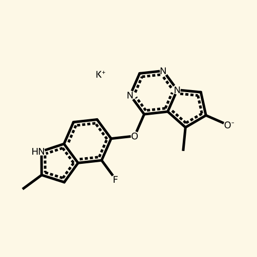 Cc1cc2c(F)c(Oc3ncnn4cc([O-])c(C)c34)ccc2[nH]1.[K+]